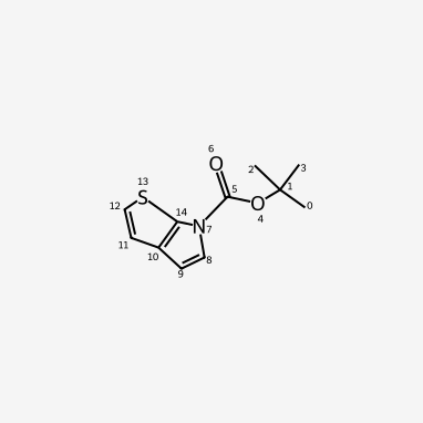 CC(C)(C)OC(=O)n1ccc2ccsc21